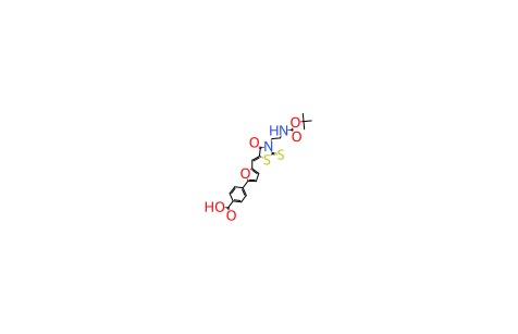 CC(C)(C)OC(=O)NCCN1C(=O)C(=Cc2ccc(-c3ccc(C(=O)O)cc3)o2)SC1=S